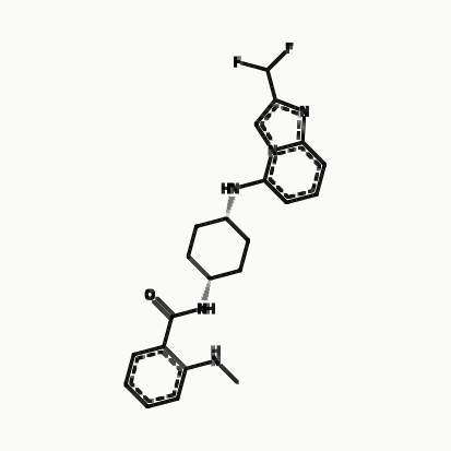 CNc1ccccc1C(=O)N[C@H]1CC[C@@H](Nc2cccc3nc(C(F)F)cn23)CC1